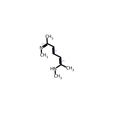 C\N=C(C)/C=C/C=C(/C)NC